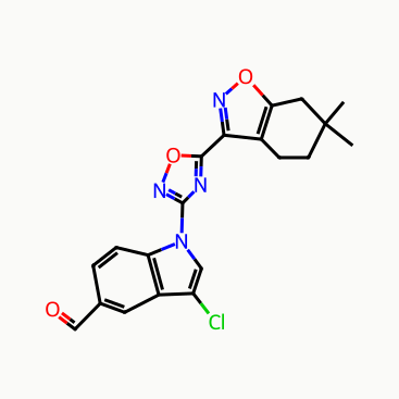 CC1(C)CCc2c(-c3nc(-n4cc(Cl)c5cc(C=O)ccc54)no3)noc2C1